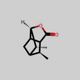 C[C@@H]1C2C(=O)O[C@@H]3C2CC1[C@H]3C